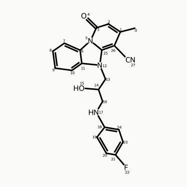 Cc1cc(=O)n2c3ccccc3n(CC(O)CNc3ccc(F)cc3)c2c1C#N